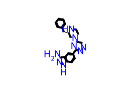 Nc1n[nH]c2ccc(-c3nncc(N4CCN[C@@H](Cc5ccccc5)C4)n3)cc12